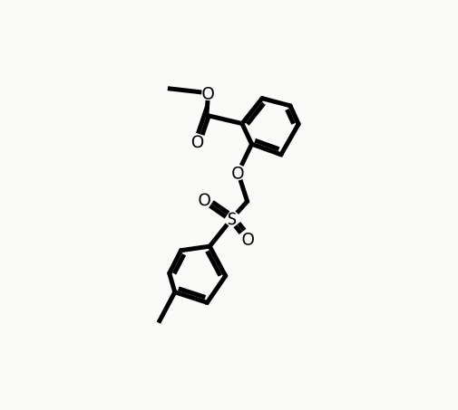 COC(=O)c1ccccc1OCS(=O)(=O)c1ccc(C)cc1